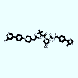 Cc1ncsc1-c1ccc([C@H](C)NC(=O)[C@@H]2C[C@@H](O)CN2C(=O)[C@@H](NC(=O)CC2CCN(c3ccc(-c4cnnc(Cl)c4)cc3)CC2)C(C)(C)C)cc1